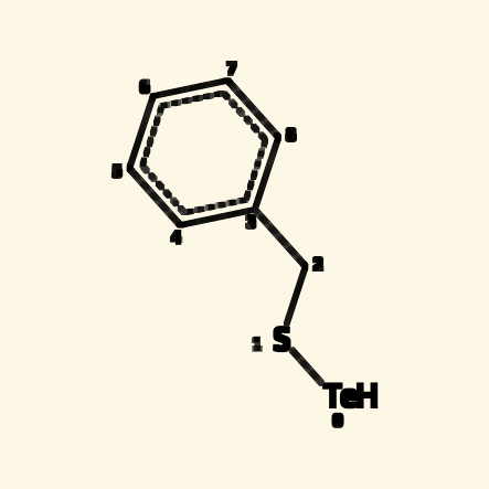 [TeH]SCc1ccccc1